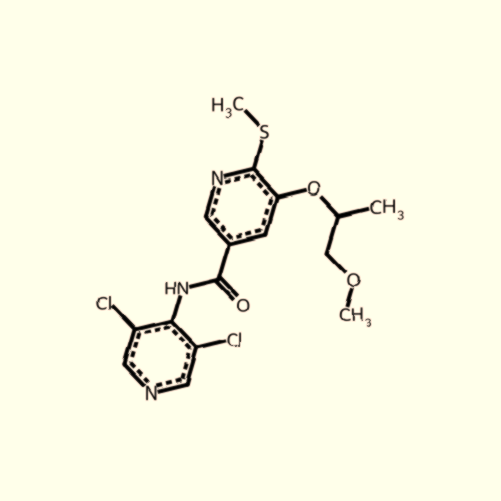 COCC(C)Oc1cc(C(=O)Nc2c(Cl)cncc2Cl)cnc1SC